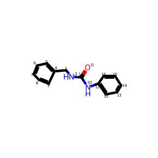 O=C(NCc1ccccc1)Nc1cc[c]cc1